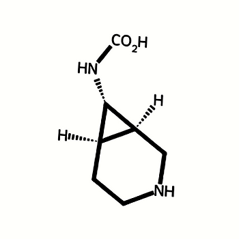 O=C(O)N[C@H]1[C@@H]2CCNC[C@@H]21